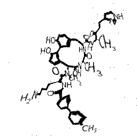 Cc1ccc(-c2ccc(C(=O)N[C@@H](CCCCN)C(=O)N(C)[C@@H]3C(=O)N[C@@H](C)C(=O)N[C@H](C(=O)N[C@@H](C)C(=O)CCc4cc[nH]n4)Cc4ccc(O)c(c4)-c4cc3ccc4O)cc2)cc1